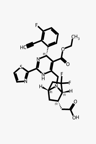 C#Cc1c(F)cccc1[C@H]1N=C(c2nccs2)NC(CN2[C@@H]3C[C@@H](CC(=O)O)[C@H]2C(F)(F)C3)=C1C(=O)OCC